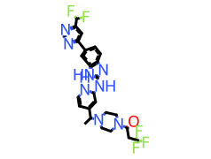 CC(C1=CC(Nc2nc3ccc(-c4cc(C(F)F)ncn4)cc3[nH]2)NC=C1)N1CCN(C(=O)CC(F)(F)F)CC1